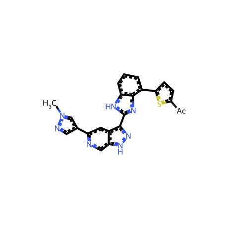 CC(=O)c1ccc(-c2cccc3[nH]c(-c4n[nH]c5cnc(-c6cnn(C)c6)cc45)nc23)s1